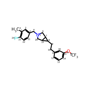 Cc1cc(CN2CC3C(C[CH]c4cccc(OC(F)(F)F)c4)C3C2)ccc1F